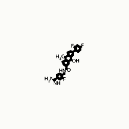 C[C@@H]1c2ccc(C(=O)NCc3ccc(C(=N)N)cc3F)cc2[C@H](O)c2cc(-c3ccc(F)cc3F)ccc21